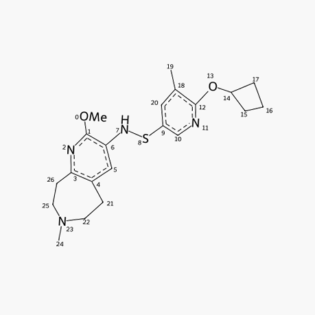 COc1nc2c(cc1NSc1cnc(OC3CCC3)c(C)c1)CCN(C)CC2